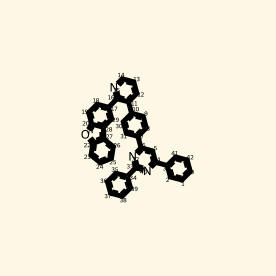 c1ccc(-c2cc(-c3ccc(-c4cccnc4-c4ccc5oc6ccccc6c5c4)cc3)nc(-c3ccccc3)n2)cc1